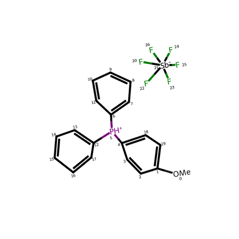 COc1ccc([PH+](c2ccccc2)c2ccccc2)cc1.[F][Sb-]([F])([F])([F])([F])[F]